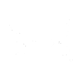 COc1ccc(N(c2ccc(-c3ccc(N(c4ccc(OC)cc4)c4ccc([Si](C)(C)C(C)(C)C)cc4)cc3)cc2)c2ccc([Si](C)(C)C(C)(C)C)cc2)cc1